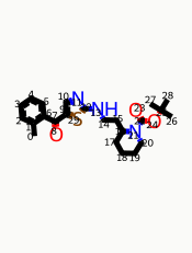 Cc1ccccc1C(=O)c1cnc(NCCC2CCCCN2C(=O)OC(C)(C)C)s1